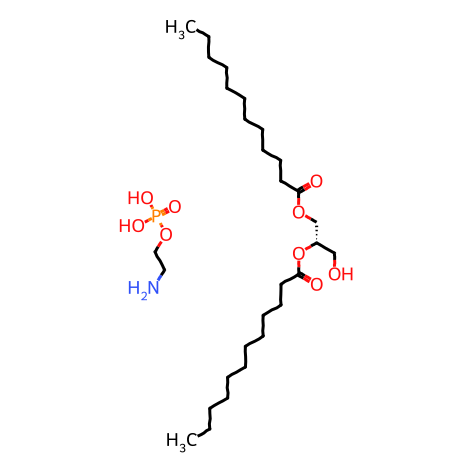 CCCCCCCCCCCC(=O)OC[C@H](CO)OC(=O)CCCCCCCCCCC.NCCOP(=O)(O)O